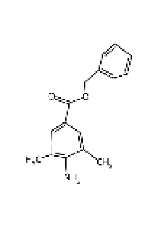 Cc1cc(C(=O)OCc2ccccc2)cc(C)c1N